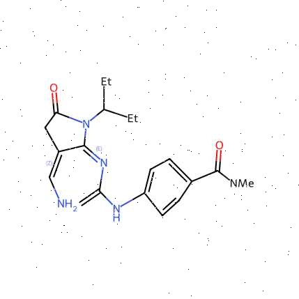 C=C(/N=C1\C(=C/N)CC(=O)N1C(CC)CC)Nc1ccc(C(=O)NC)cc1